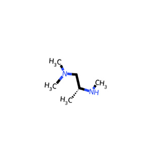 CN[C@H](C)CN(C)C